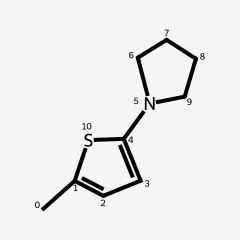 Cc1ccc(N2CCCC2)s1